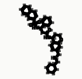 O=C(CC(NS(=O)(=O)c1ccc2ccccc2c1)c1ccccc1)NC1CCOc2cc(CNCC3CCCCC3)ccc21